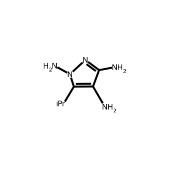 CC(C)c1c(N)c(N)nn1N